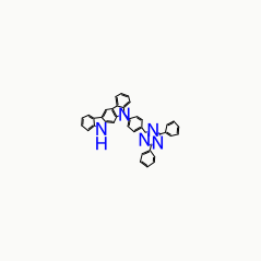 c1ccc(-c2nc(-c3ccccc3)nc(-c3ccc(-n4c5ccccc5c5cc6c(cc54)[nH]c4ccccc46)cc3)n2)cc1